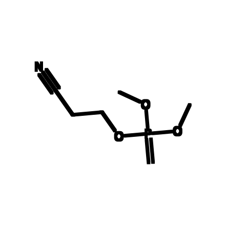 C=P(OC)(OC)OCCC#N